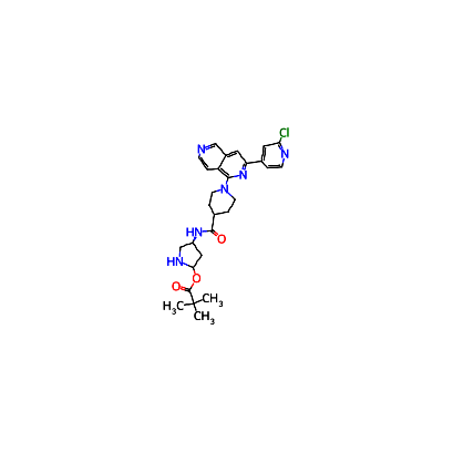 CC(C)(C)C(=O)OC1C[C@H](NC(=O)C2CCN(c3nc(-c4ccnc(Cl)c4)cc4cnccc34)CC2)CN1